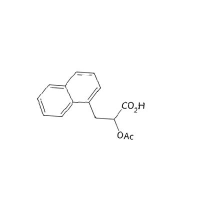 CC(=O)OC(Cc1cccc2ccccc12)C(=O)O